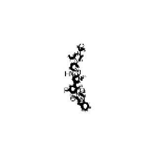 CCC1CN(C2COC2)CCN1c1ccc(Nc2cc(-c3cc(F)cc(-n4ccn5c6c(cc5c4=O)CCCC6)c3C=O)cn(C)c2=O)nc1